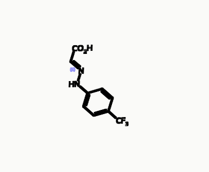 O=C(O)/C=N/Nc1ccc(C(F)(F)F)cc1